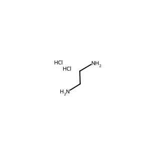 Cl.Cl.NCCN